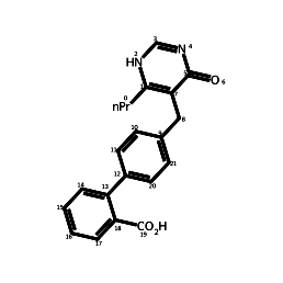 CCCc1[nH]cnc(=O)c1Cc1ccc(-c2ccccc2C(=O)O)cc1